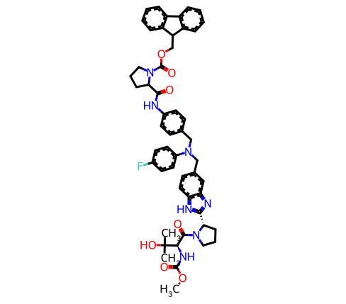 COC(=O)N[C@H](C(=O)N1CCC[C@H]1c1nc2cc(CN(Cc3ccc(NC(=O)C4CCCN4C(=O)OCC4c5ccccc5-c5ccccc54)cc3)c3ccc(F)cc3)ccc2[nH]1)C(C)(C)O